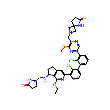 CCOc1nc(-c2cccc(-c3cccc(-c4cnc(CN5CC6(CCC(=O)N6)C5)c(OC)n4)c3Cl)c2Cl)cc2c1C(NC[C@@H]1CCC(=O)N1)CC2